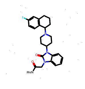 CNC(=O)Cn1c(=O)n(C2CCN(C3CCCc4cc(F)ccc43)CC2)c2ccccc21